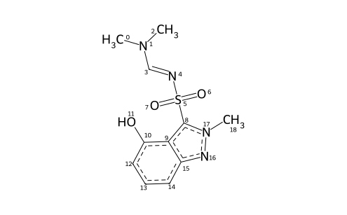 CN(C)C=NS(=O)(=O)c1c2c(O)cccc2nn1C